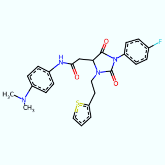 CN(C)c1ccc(NC(=O)CC2C(=O)N(c3ccc(F)cc3)C(=O)N2CCc2cccs2)cc1